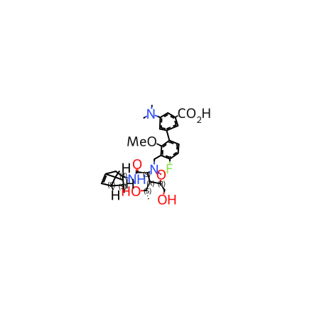 COc1c(-c2cc(C(=O)O)cc(N(C)C)c2)ccc(F)c1CN1O[C@@H](CO)[C@@H]([C@H](C)O)[C@H]1C(=O)N[C@H]1CC2=C[C@@H]([C@@H]1C)C2(C)C